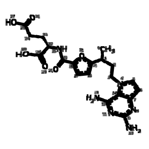 CC(CCn1ccc2nc(N)nc(N)c21)c1ccc(C(=O)N[C@H](CCC(=O)O)C(=O)O)o1